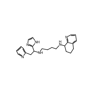 c1ccc(CC(NCCCCNC2CCCc3cccnc32)c2ncc[nH]2)nc1